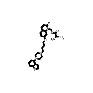 CC(N)C(=O)OCn1c(=O)ccc2ccc(OCCCCN3CCN(c4cccc5sccc45)CC3)cc21